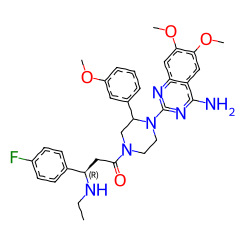 CCN[C@H](CC(=O)N1CCN(c2nc(N)c3cc(OC)c(OC)cc3n2)C(c2cccc(OC)c2)C1)c1ccc(F)cc1